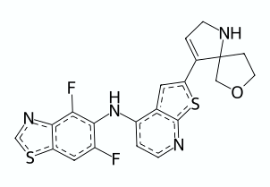 Fc1cc2scnc2c(F)c1Nc1ccnc2sc(C3=CCNC34CCOC4)cc12